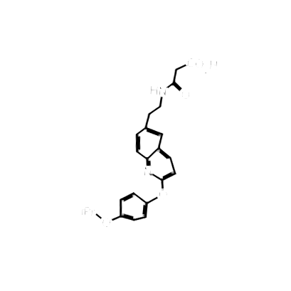 CC(C)Oc1ccc(Oc2ccc3cc(CCNC(=O)CC(=O)O)ccc3n2)cc1